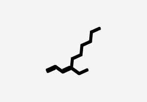 C=CC=C(CC)CCCCCC